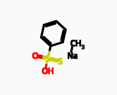 O=S(O)(=S)c1ccccc1.[CH3][Na]